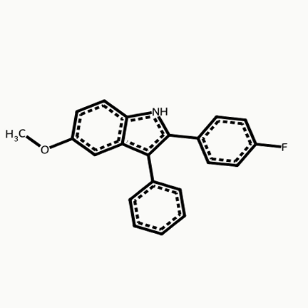 COc1ccc2[nH]c(-c3ccc(F)cc3)c(-c3ccccc3)c2c1